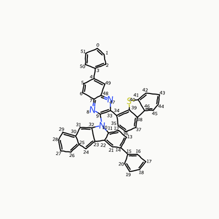 c1ccc(-c2ccc3nc(-n4c5ccc(-c6ccccc6)cc5c5cc6ccccc6cc54)c(-c4cccc5c4sc4ccccc45)nc3c2)cc1